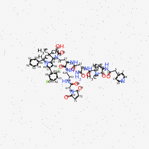 C[C@H](NC(=O)Cc1ccncc1)C(=O)N(C)[C@@H](C)C(=O)N[C@@H](CC(=O)N[C@@H](CCN(C(=O)CO)[C@@H](c1cc(-c2cc(F)ccc2F)cn1Cc1ccccc1)C(C)(C)C)C(=O)NCCNC(=O)CN1C(=O)C=CC1=O)C(N)=O